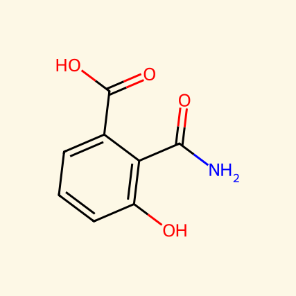 NC(=O)c1c(O)cccc1C(=O)O